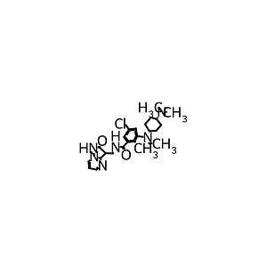 CCN(c1cc(Cl)cc(C(=O)NCC2C(=O)NN3C=CC=NC23)c1C)[C@H]1CC[C@H](N(C)C)CC1